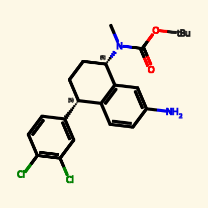 CN(C(=O)OC(C)(C)C)[C@H]1CC[C@@H](c2ccc(Cl)c(Cl)c2)c2ccc(N)cc21